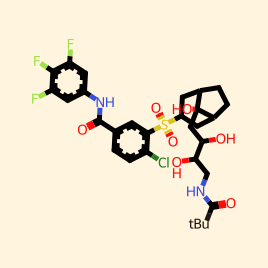 CC(C)(C)C(=O)NCC(O)C(O)CC1(O)C2CCC1CC(S(=O)(=O)c1cc(C(=O)Nc3cc(F)c(F)c(F)c3)ccc1Cl)C2